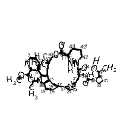 CCn1c(-c2cccnc2[C@H](C)OC)c2c3cc(ccc31)-c1csc(n1)C[C@H](NC(=O)N1CC[C@H]1[C@@H](C)O)C(=O)N1CCC[C@H](N1)C(=O)OCC(C)(C)C2